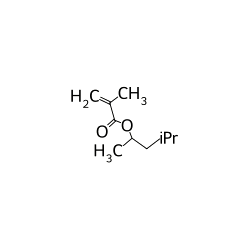 C=C(C)C(=O)OC(C)CC(C)C